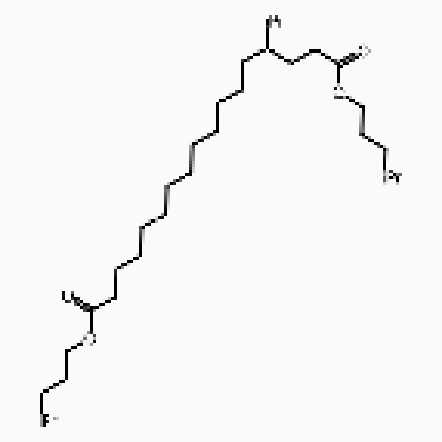 CC(C)CCCOC(=O)CCCCCCCCCCCCC(CCC(=O)OCCCC(C)C)C(C)C